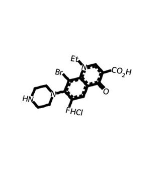 CCn1cc(C(=O)O)c(=O)c2cc(F)c(N3CCNCC3)c(Br)c21.Cl